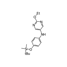 CCOc1ncc(Nc2ccc(O[Si](C)(C)C(C)(C)C)cc2)cn1